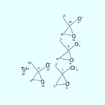 CC1([O-])CO1.CC1([O-])CO1.CC1([O-])CO1.CC1([O-])CO1.[Ti+4]